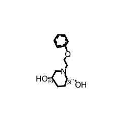 OC[C@@H]1CC[C@@H](O)CN1CCOc1ccccc1